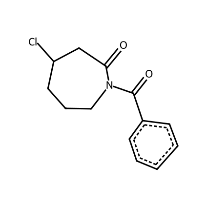 O=C1CC(Cl)CCCN1C(=O)c1ccccc1